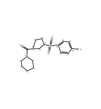 O=C(N1CCCCC1)N1CCC(S(=O)(=O)c2ccc(F)cc2)C1